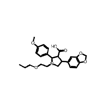 CCCOCCN1CC(c2ccc3c(c2)OCO3)C(C(=O)O)C1c1ccc(OC)cc1